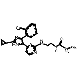 CC(C)(C)NC(=O)NCCNc1nccc(-c2[nH]c(C3CC3)nc2-c2ccccc2Cl)n1